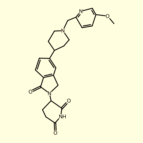 COc1ccc(CN2CCC(c3ccc4c(c3)CN(C3CCC(=O)NC3=O)C4=O)CC2)nc1